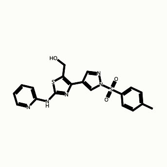 Cc1ccc(S(=O)(=O)n2cc(-c3nc(Nc4ccccn4)sc3CO)cn2)cc1